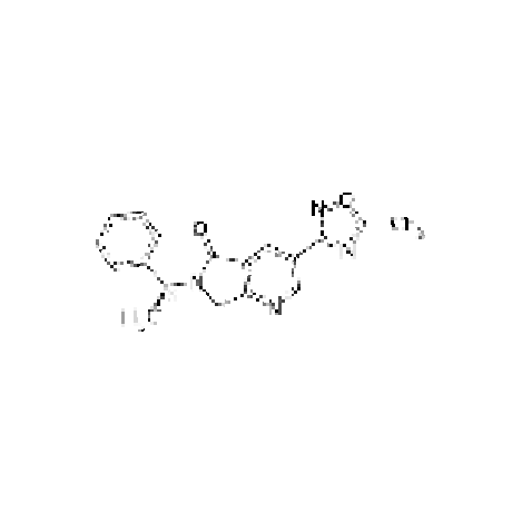 C[C@@H](c1ccccc1)N1Cc2ncc(-c3noc(C(F)(F)F)n3)cc2C1=O